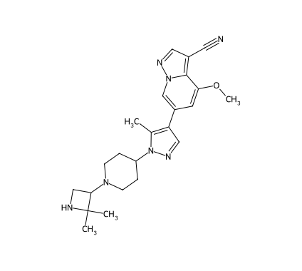 COc1cc(-c2cnn(C3CCN(C4CNC4(C)C)CC3)c2C)cn2ncc(C#N)c12